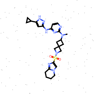 CN(c1nccc(Nc2cc(C3CC3)[nH]n2)n1)C1CC2(C1)CN(S(=O)(=O)c1cn3c(n1)CCCC3)C2